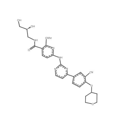 COc1nc(Nc2nccc(-c3ccc(OC4CCOCC4)c(C#N)c3)n2)ccc1C(=O)NC[C@H](O)CO